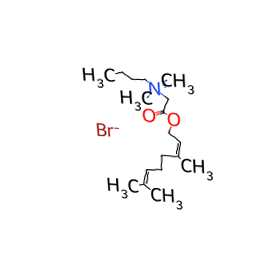 CCCC[N+](C)(C)CC(=O)OCC=C(C)CCC=C(C)C.[Br-]